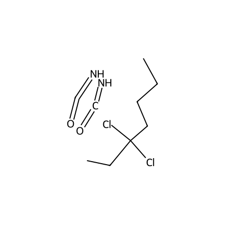 CCCCC(Cl)(Cl)CC.N=C=O.N=C=O